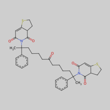 CC(CCCCC(=O)CCCCC(C)(c1ccccc1)N1C(=O)C=C2SCCC2C1=O)(c1ccccc1)N1C(=O)C=C2SCCC2C1=O